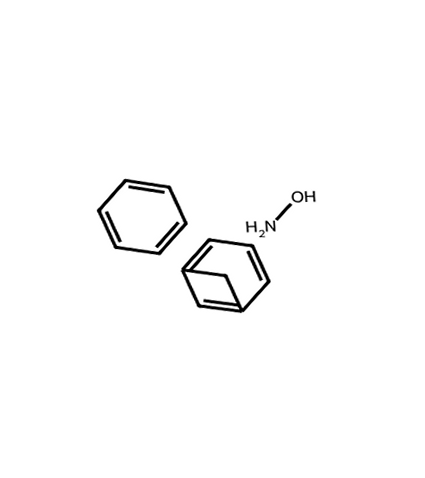 NO.c1cc2cc(c1)C2.c1ccccc1